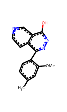 COc1cc(C)ccc1-c1nnc(O)c2cnccc12